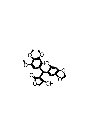 COc1cc(C(C2=C(O)COC2=O)c2cc3c(cc2O)OCO3)cc(OC)c1OC